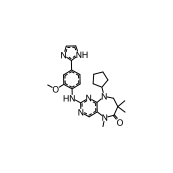 COc1cc(-c2ncc[nH]2)ccc1Nc1ncc2c(n1)N(C1CCCC1)CC(C)(C)C(=O)N2C